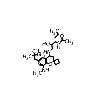 C=CC[C@H](NC(C)=O)[C@H](O)CN[C@H]1CC2(CCC2)Oc2c1cc(CC(C)(C)C)nc2NC